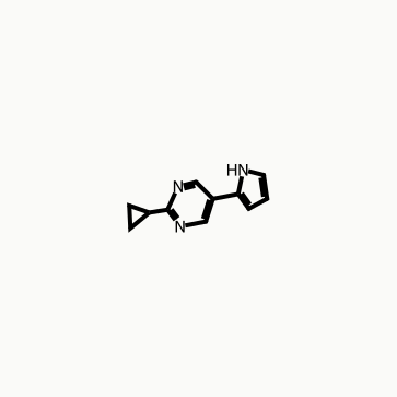 c1c[nH]c(-c2cnc(C3CC3)nc2)c1